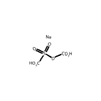 O=C(O)OS(=O)(=O)C(=O)O.[Na]